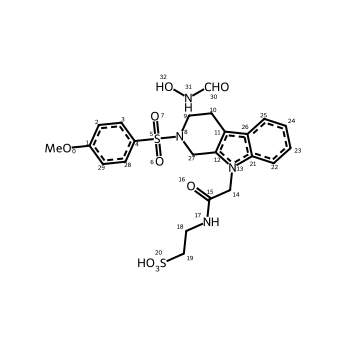 COc1ccc(S(=O)(=O)N2CCc3c(n(CC(=O)NCCS(=O)(=O)O)c4ccccc34)C2)cc1.O=CNO